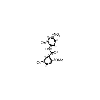 COc1ccc(Cl)cc1C(=O)Nc1ccc([N+](=O)[O-])cc1Cl